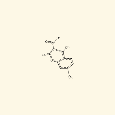 O=c1oc2cc(O)ccc2c(O)c1[N+](=O)[O-]